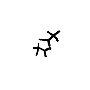 CC([B]C(C)C(C)(C)C)C(C)(C)C